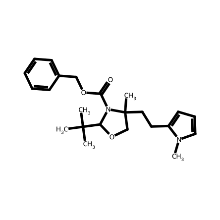 Cn1cccc1CCC1(C)COC(C(C)(C)C)N1C(=O)OCc1ccccc1